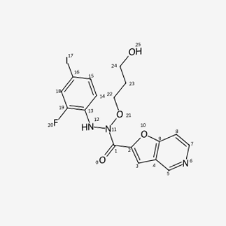 O=C(c1cc2cnccc2o1)N(Nc1ccc(I)cc1F)OCCCO